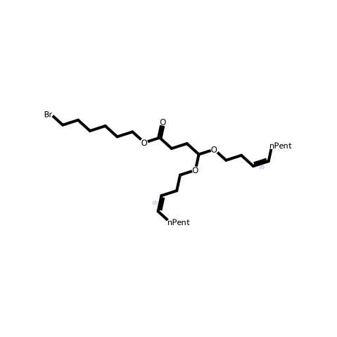 CCCCC/C=C\CCOC(CCC(=O)OCCCCCCBr)OCC/C=C\CCCCC